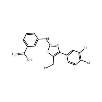 C=C(O)c1cccc(Nc2nc(-c3ccc(Cl)c(Cl)c3)c(CC(C)C)s2)c1